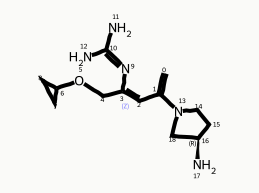 C=C(/C=C(/COC1CC1)N=C(N)N)N1CC[C@@H](N)C1